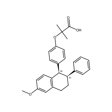 COc1ccc2c(c1)CC[C@H](c1ccccc1)[C@@H]2c1ccc(OC(C)(C)C(=O)O)cc1